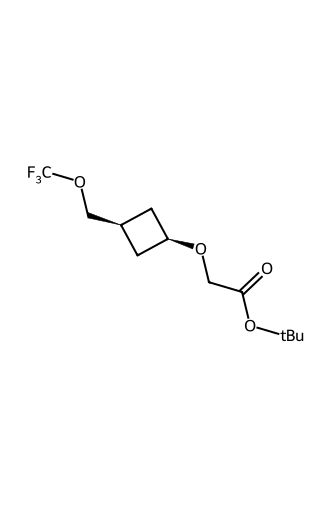 CC(C)(C)OC(=O)CO[C@H]1C[C@@H](COC(F)(F)F)C1